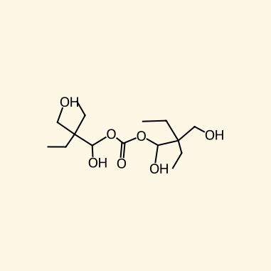 CCC(CC)(CO)C(O)OC(=O)OC(O)C(CC)(CC)CO